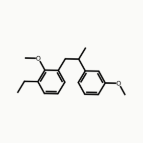 CCc1cccc(CC(C)c2cccc(OC)c2)c1OC